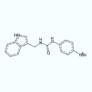 CCCCc1ccc(NC(=O)NCc2c[nH]c3ccccc23)cc1